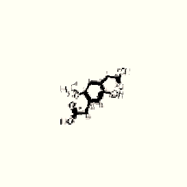 COc1cc(CC(=O)O)c(O)cc1CC(=O)O